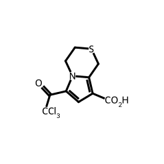 O=C(O)c1cc(C(=O)C(Cl)(Cl)Cl)n2c1CSCC2